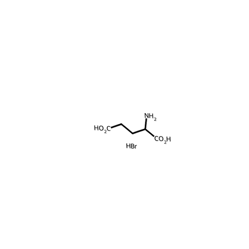 Br.NC(CCC(=O)O)C(=O)O